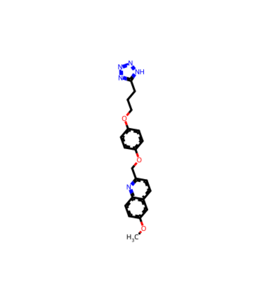 COc1ccc2nc(COc3ccc(OCCCc4nnn[nH]4)cc3)ccc2c1